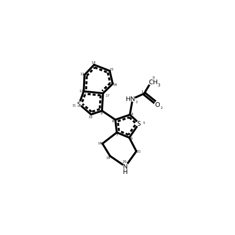 CC(=O)Nc1sc2c(c1-c1csc3ccccc13)CCNC2